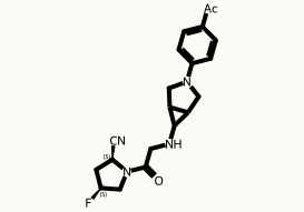 CC(=O)c1ccc(N2CC3C(C2)C3NCC(=O)N2C[C@@H](F)C[C@H]2C#N)cc1